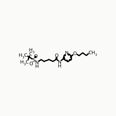 CCCCOc1ccc(NC(=O)CCCCNS(=O)(=O)C(C)(C)C)cn1